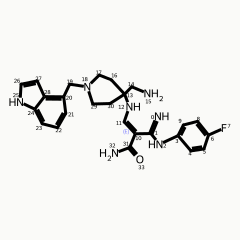 N=C(Nc1ccc(F)cc1)/C(=C\NC1(CN)CCN(Cc2cccc3[nH]ccc23)CC1)C(N)=O